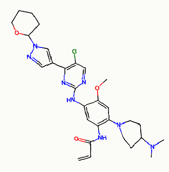 C=CC(=O)Nc1cc(Nc2ncc(Cl)c(-c3cnn(C4CCCCO4)c3)n2)c(OC)cc1N1CCC(N(C)C)CC1